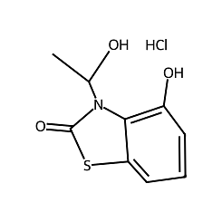 CC(O)n1c(=O)sc2cccc(O)c21.Cl